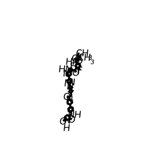 CCN(C)S(=O)(=O)Nc1ccc(F)c(C(=O)c2c[nH]c3ncc(-c4cnc(N5CC6(CC(CC(=O)N7CCC(c8ccc(NC9CCC(=O)NC9=O)cc8)CC7)C6)C5)nc4)cc23)c1F